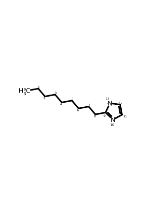 CCCCCCCCCC1=NC=C[N]1